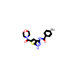 CC(C)(C)c1ccc(C(=O)Nc2n[nH]c3sc(C(=O)N4CCOCC4)cc23)cc1